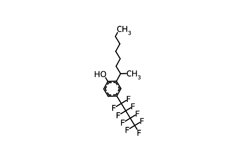 CCCCCCC(C)c1cc(C(F)(F)C(F)(F)C(F)(F)C(F)(F)F)ccc1O